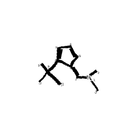 CN(C)C=C1C=CC=C1C(C)(C)C